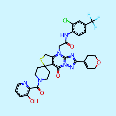 O=C(Cn1c2c(c(=O)n3nc(C4=CCOCC4)nc13)C1(CCN(C(=O)c3ncccc3O)CC1)SC2)Nc1ccc(C(F)(F)F)cc1Cl